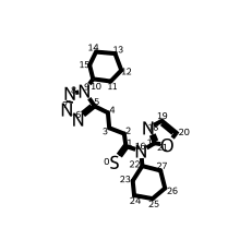 S=C(CCCc1nnnn1C1CCCCC1)N(c1ncco1)C1CCCCC1